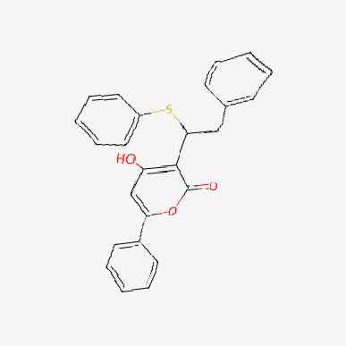 O=c1oc(-c2ccccc2)cc(O)c1C(Cc1ccccc1)Sc1ccccc1